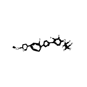 COC1CCC(c2ccc(-c3ccc(-c4ccc(OC(F)(F)C(F)(F)F)c(F)c4F)cc3)c(F)c2)CO1